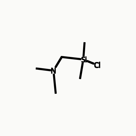 CN(C)C[Si](C)(C)Cl